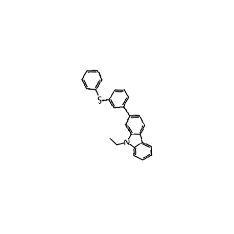 CCn1c2ccccc2c2ccc(-c3cccc(Sc4ccccc4)c3)cc21